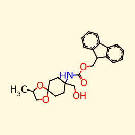 CC1COC2(CCC(CO)(NC(=O)OCC3c4ccccc4-c4ccccc43)CC2)O1